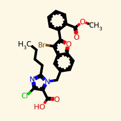 CCCCc1nc(Cl)c(C(=O)O)n1Cc1ccc2oc(-c3ccccc3C(=O)OC)c(Br)c2c1